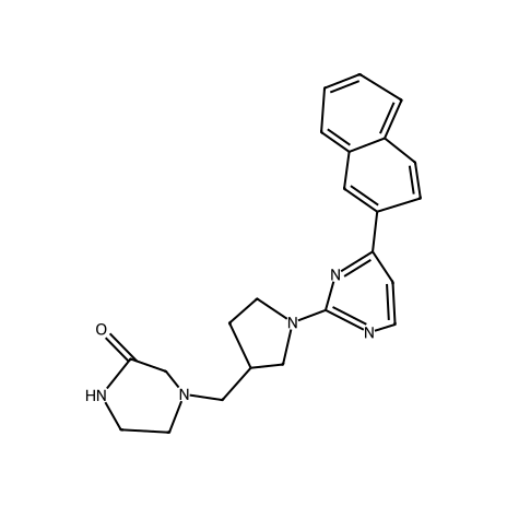 O=C1CN(CC2CCN(c3nccc(-c4ccc5ccccc5c4)n3)C2)CCN1